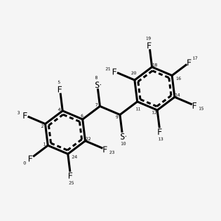 Fc1c(F)c(F)c(C([S])C([S])c2c(F)c(F)c(F)c(F)c2F)c(F)c1F